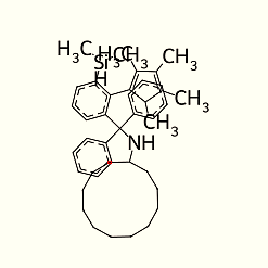 CC1=C(C)C(C)C(c2c([SiH](C)C)cccc2C(NC2CCCCCCCCCCC2)(c2ccccc2)c2ccccc2)=C1C